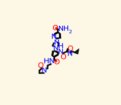 NC(=O)c1ccc(N2CCN(c3ccc(C(=O)NCCCN4CCCC4=O)cc3NC(=O)c3coc(C4CC4)n3)CC2)nc1